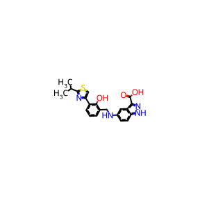 CC(C)c1nc(-c2cccc(CNc3ccc4[nH]nc(C(=O)O)c4c3)c2O)cs1